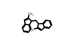 CC1=Cc2ccccc2C1CC1C(C)=Cc2ccccc21